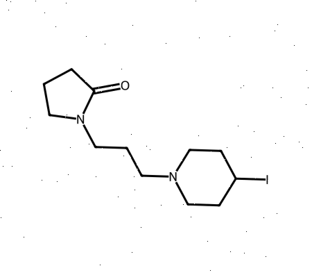 O=C1CCCN1CCCN1CCC(I)CC1